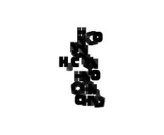 Cc1cnc(NC2CCOCC2)nc1-n1cnc(C(=O)NC(CNCc2ccc[nH]2)c2cccc(Cl)c2)c1